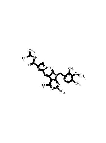 COc1c(C)cnc(CN2C(=O)/C(=C\c3nc(C(=O)NC(C)C)c[nH]3)c3c(C)nc(N)nc32)c1C